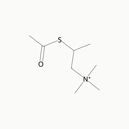 CC(=O)SC(C)C[N+](C)(C)C